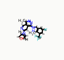 Cc1c(CNc2nnc(C)c3cnc(N4C[C@H]5C[C@@H]4CO5)cc23)cc(F)cc1C(F)(F)F